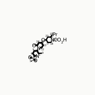 Cc1nc(S(C)(=O)=O)ccc1-n1ccc(OC2CCN(C(=O)O)C(C(C)C)C2)cc1=O